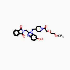 COCCOCC(=O)N1CCC(Cn2c(CN3C(=O)c4ccccc4C3=O)nc3ccc(O)cc32)CC1